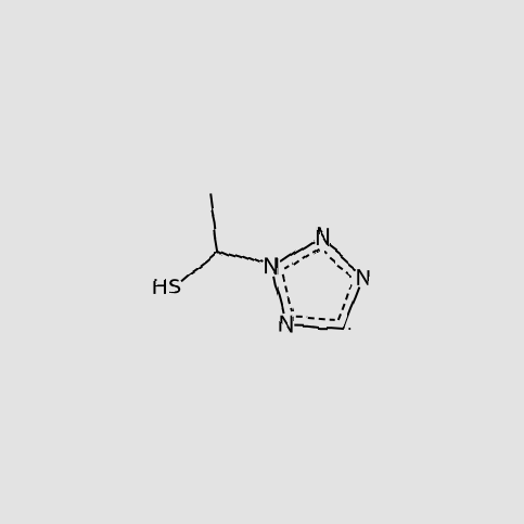 CC(S)n1n[c]nn1